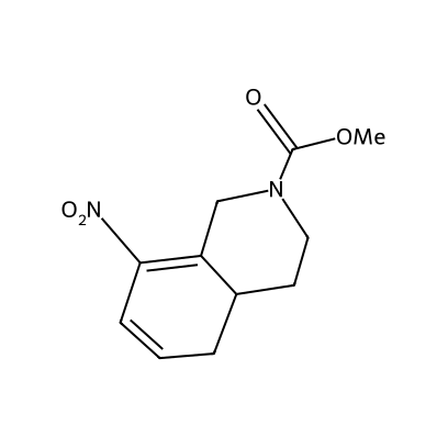 COC(=O)N1CCC2CC=CC([N+](=O)[O-])=C2C1